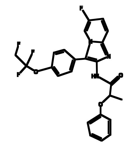 CC(Oc1ccccc1)C(=O)Nc1nc2ccc(F)cn2c1-c1ccc(OC(F)(F)CF)cc1